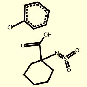 Clc1ccccc1.O=C(O)C1(N=S(=O)=O)CCCCC1